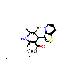 COC(=O)C1=C(C)NC(C)=C(C(C)=O)C1c1csc2cccnc12